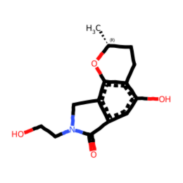 C[C@@H]1CCc2c(O)cc3c(c2O1)CN(CCO)C3=O